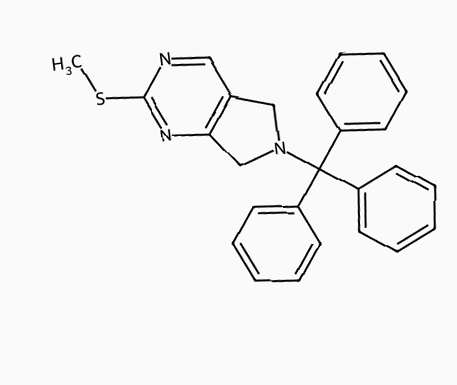 CSc1ncc2c(n1)CN(C(c1ccccc1)(c1ccccc1)c1ccccc1)C2